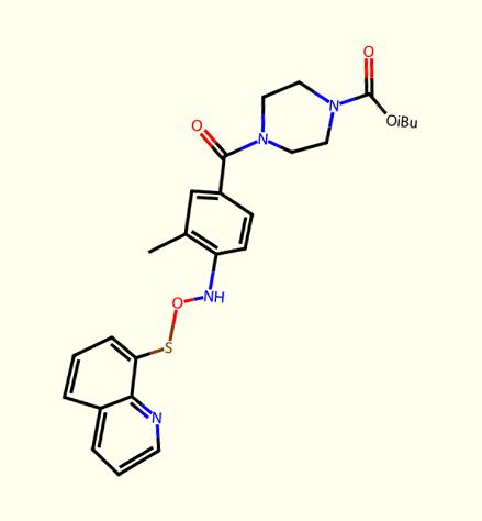 Cc1cc(C(=O)N2CCN(C(=O)OCC(C)C)CC2)ccc1NOSc1cccc2cccnc12